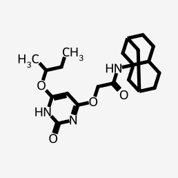 CCC(C)Oc1cc(OCC(=O)NC23CC4CCC2CCC(C4)C3)nc(=O)[nH]1